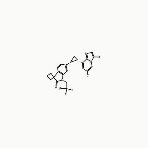 O=C1N(CC(F)(F)F)c2cc([C@H]3C[C@@H]3c3cc(Cl)nn4c(F)cnc34)ccc2C12CCC2